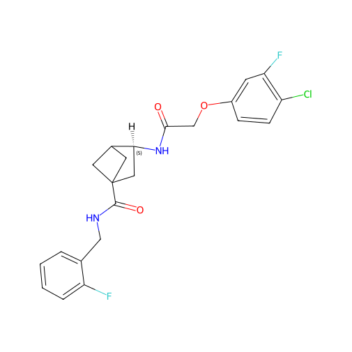 O=C(COc1ccc(Cl)c(F)c1)N[C@H]1CC2(C(=O)NCc3ccccc3F)CC1C2